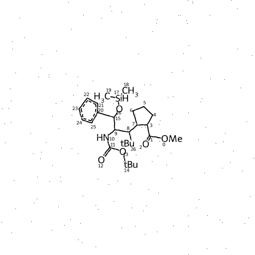 COC(=O)C1CCCC1C(C(NC(=O)OC(C)(C)C)C(O[SiH](C)C)c1ccccc1)C(C)(C)C